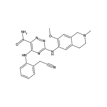 COc1cc2c(cc1Nc1nnc(C(N)=O)c(Nc3ccccc3CC#N)n1)CCN(C)C2